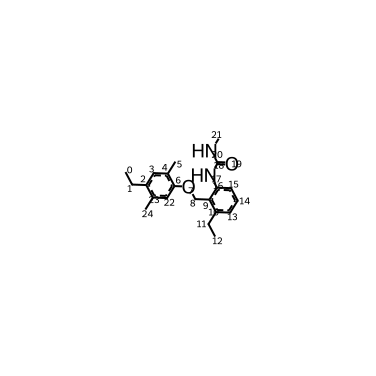 CCc1cc(C)c(OCc2c(CC)cccc2NC(=O)NC)cc1C